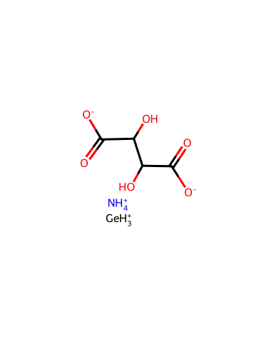 O=C([O-])C(O)C(O)C(=O)[O-].[GeH3+].[NH4+]